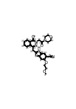 COCCOc1cc2nc(Cc3nn(CC(=O)N4CCOCC4)c(=O)c4ccccc34)[nH]c2cc1C#N